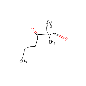 CCCC(=O)C(C)(C)C=O